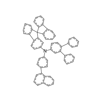 c1ccc(-c2ccc(N(c3ccc(-c4cccc5ccccc45)cc3)c3ccc4c(c3)C3(c5ccccc5-c5ccccc53)c3ccccc3-4)cc2-c2ccccc2)cc1